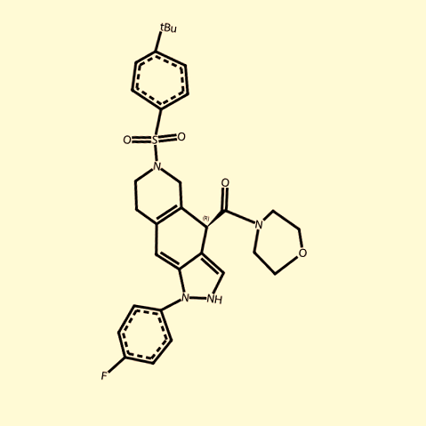 CC(C)(C)c1ccc(S(=O)(=O)N2CCC3=C(C2)[C@@H](C(=O)N2CCOCC2)C2=CNN(c4ccc(F)cc4)C2=C3)cc1